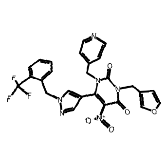 O=c1c([N+](=O)[O-])c(-c2cnn(Cc3ccccc3C(F)(F)F)c2)n(Cc2ccncc2)c(=O)n1Cc1ccoc1